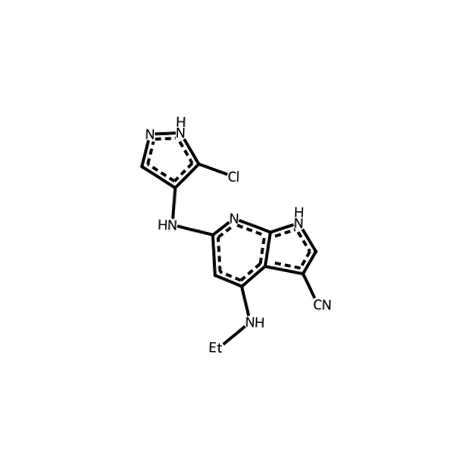 CCNc1cc(Nc2cn[nH]c2Cl)nc2[nH]cc(C#N)c12